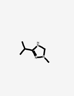 CC(C)C1=NN(C)CN1